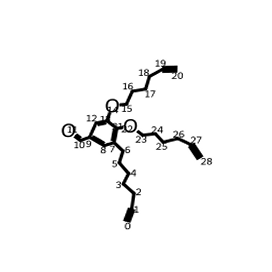 C#CCCCCCc1cc(C=O)cc(OCCCCC#C)c1OCCCCC#C